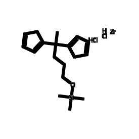 CC(CCCO[Si](C)(C)C)(C1=CC=CC1)C1=CC=CC1.Cl.Cl.[Zr]